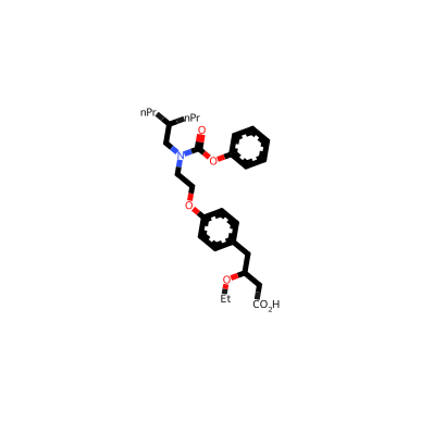 CCCC(CCC)CN(CCOc1ccc(CC(CC(=O)O)OCC)cc1)C(=O)Oc1ccccc1